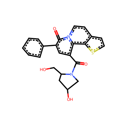 O=C(c1cc(-c2ccccc2)c(=O)n2ccc3ccsc3c12)N1CC(O)CC1CO